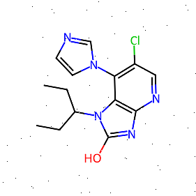 CCC(CC)n1c(O)nc2ncc(Cl)c(-n3ccnc3)c21